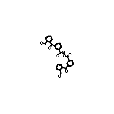 O=Cc1ccccc1C(=O)c1cccc(C(=O)OOC(=O)c2cccc(C(=O)c3ccccc3C=O)c2)c1